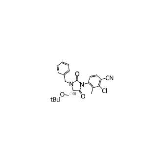 Cc1c(N2C(=O)[C@H](COC(C)(C)C)N(Cc3ccccc3)C2=O)ccc(C#N)c1Cl